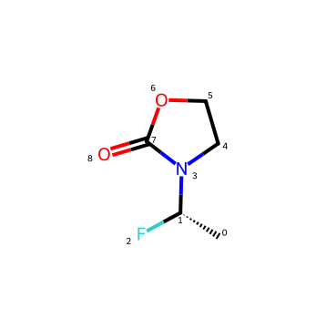 C[C@H](F)N1CCOC1=O